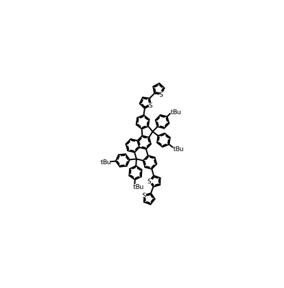 CC(C)(C)c1ccc(C2(c3ccc(C(C)(C)C)cc3)c3cc(-c4ccc(-c5cccs5)s4)ccc3-c3c2cc2c4c(cccc34)C(c3ccc(C(C)(C)C)cc3)(c3ccc(C(C)(C)C)cc3)c3cc(-c4ccc(-c5cccs5)s4)ccc3-2)cc1